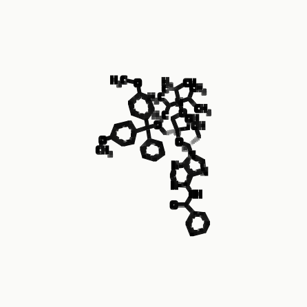 COc1ccc(C(OC[C@@](CO)(CO[Si](C(C)C)(C(C)C)C(C)C)O[C@H](CO)n2cnc3c(NC(=O)c4ccccc4)ncnc32)(c2ccccc2)c2ccc(OC)cc2)cc1